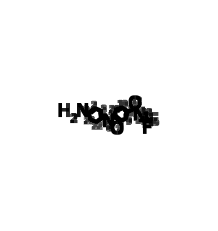 NC1=CC=C(N2COc3cc(C(=O)N4CC(F)(F)C4)ccc32)CC1